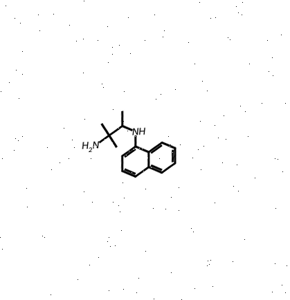 CC(Nc1cccc2ccccc12)C(C)(C)N